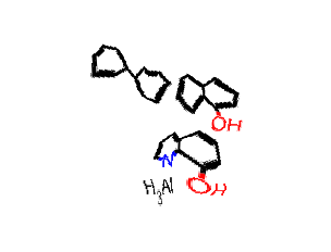 Oc1cccc2ccccc12.Oc1cccc2cccnc12.[AlH3].c1ccc(-c2ccccc2)cc1